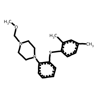 COCN1CCN(c2ccccc2Sc2ccc(C)cc2C)CC1